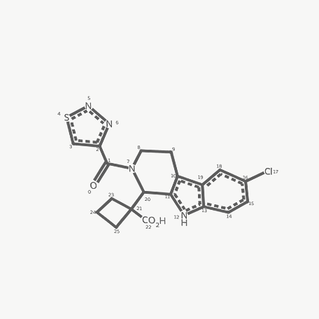 O=C(c1csnn1)N1CCc2c([nH]c3ccc(Cl)cc23)C1C1(C(=O)O)CCC1